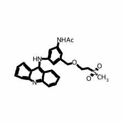 CC(=O)Nc1cc(COCCS(C)(=O)=O)cc(Nc2c3ccccc3nc3ccccc23)c1